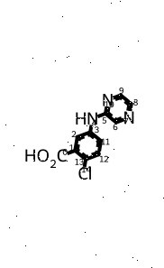 O=C(O)c1cc(Nc2cnccn2)ccc1Cl